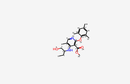 CCC(CO)Nc1c(C)cnc(Oc2c(C)cc(C)cc2C)c1C(=O)OC